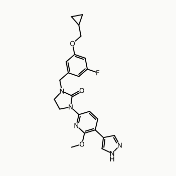 COc1nc(N2CCN(Cc3cc(F)cc(OCC4CC4)c3)C2=O)ccc1-c1cn[nH]c1